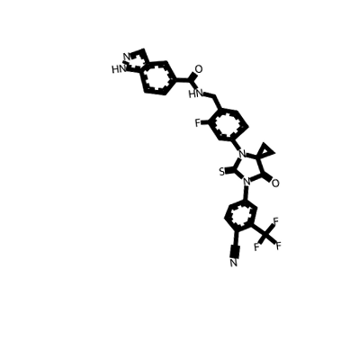 N#Cc1ccc(N2C(=O)C3(CC3)N(c3ccc(CNC(=O)c4ccc5[nH]ncc5c4)c(F)c3)C2=S)cc1C(F)(F)F